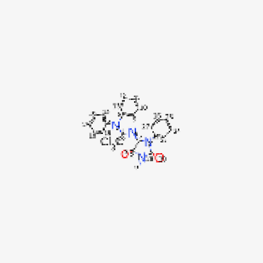 CN1C(=O)/C(=N\C(N(c2ccccc2)c2ccccc2)C(Cl)(Cl)Cl)N(c2ccccc2)C1=O